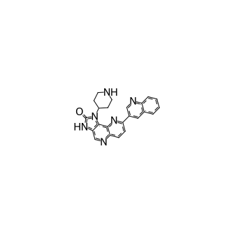 O=c1[nH]c2cnc3ccc(-c4cnc5ccccc5c4)nc3c2n1C1CCNCC1